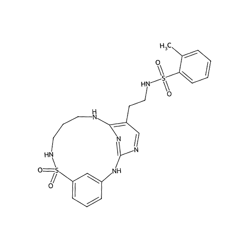 Cc1ccccc1S(=O)(=O)NCCc1cnc2nc1NCCCNS(=O)(=O)c1cccc(c1)N2